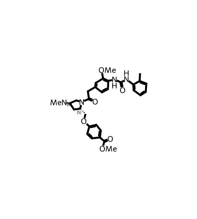 CN[C@@H]1C[C@@H](COc2ccc(C(=O)OC)cc2)N(C(=O)Cc2ccc(NC(=O)Nc3ccccc3C)c(OC)c2)C1